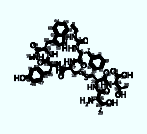 CCNC(=O)N[C@H](Cc1ccccc1)C(=O)N[C@@H](CSSC[C@H](NC(=O)[C@@H](N)[C@@H](C)O)C(=O)N[C@H](C(=O)O)[C@@H](C)O)C(=O)N[C@@H](Cc1ccc(O)cc1)C(=O)N[C@H](Cc1c[nH]c2ccccc12)C(=O)NC